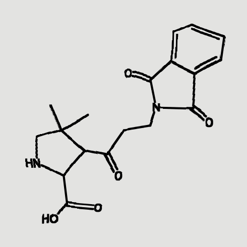 CC1(C)CNC(C(=O)O)C1C(=O)CCN1C(=O)c2ccccc2C1=O